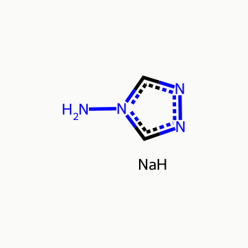 Nn1cnnc1.[NaH]